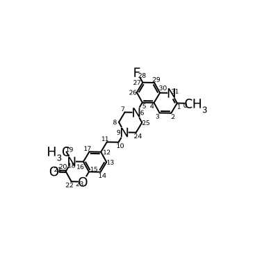 Cc1ccc2c(N3CCN(CCc4ccc5c(c4)N(C)C(=O)CO5)CC3)cc(F)cc2n1